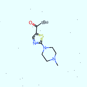 CN1CCN(c2ncc(C(=O)C(C)(C)C)s2)CC1